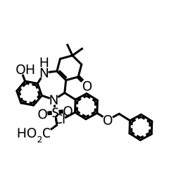 CC1(C)CC(=O)C2=C(C1)Nc1c(O)cccc1N(S(=O)(=O)CC(=O)O)C2c1ccc(OCc2ccccc2)cc1Cl